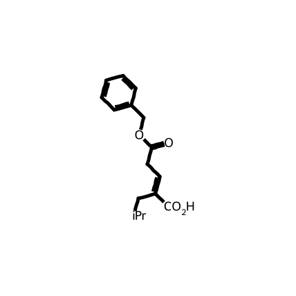 CC(C)C/C(=C\CC(=O)OCc1ccccc1)C(=O)O